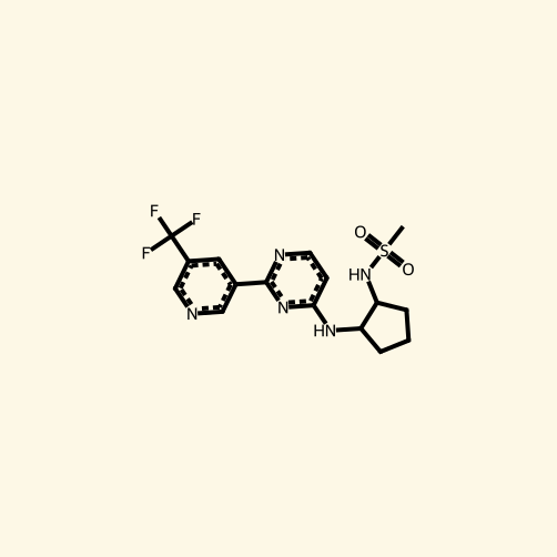 CS(=O)(=O)NC1CCCC1Nc1ccnc(-c2cncc(C(F)(F)F)c2)n1